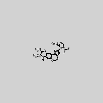 C[C@H](Nc1ccc2c(c1)OCCn1cc(N3C(=C=O)NC[C@H]3C(F)F)nc1-2)C(N)=O